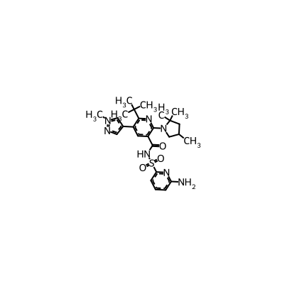 CC1CN(c2nc(C(C)(C)C)c(-c3cnn(C)c3)cc2C(=O)NS(=O)(=O)c2cccc(N)n2)C(C)(C)C1